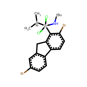 C[SiH](C)[Zr]([Cl])([Cl])([NH]C(C)(C)C)[c]1c(Br)ccc2c1Cc1cc(Br)ccc1-2